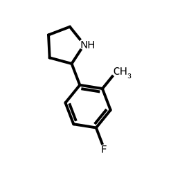 Cc1cc(F)ccc1C1CCCN1